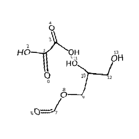 O=C(O)C(=O)O.O=COCC(O)CO